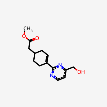 COC(=O)CC1CC=C(c2nccc(CO)n2)CC1